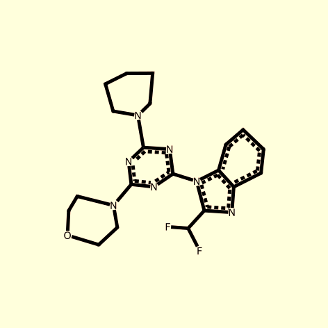 FC(F)c1nc2ccccc2n1-c1nc(N2CCCCC2)nc(N2CCOCC2)n1